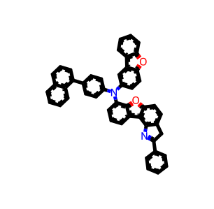 c1ccc(C2=Nc3c(ccc4oc5c(N(c6ccc(-c7cccc8ccccc78)cc6)c6ccc7oc8ccccc8c7c6)cccc5c34)C2)cc1